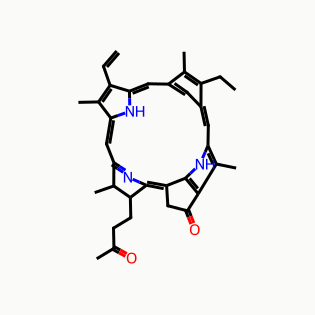 C=Cc1c(C)c2cc3nc(c4c5[nH]c(cc6cc(cc1[nH]2)C(C)=C6CC)c(C)c5C(=O)C4)C(CCC(C)=O)C3C